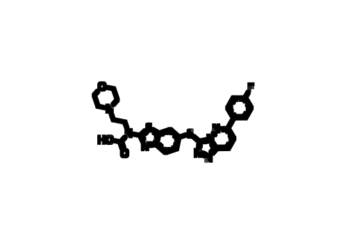 O=C(O)N(CCN1CCOCC1)c1nc2ccc(Sc3nnc4ccc(-c5ccc(F)cc5)nn34)cc2s1